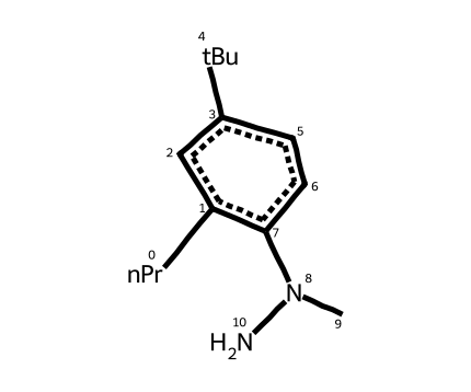 CCCc1cc(C(C)(C)C)ccc1N(C)N